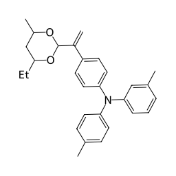 C=C(c1ccc(N(c2ccc(C)cc2)c2cccc(C)c2)cc1)C1OC(C)CC(CC)O1